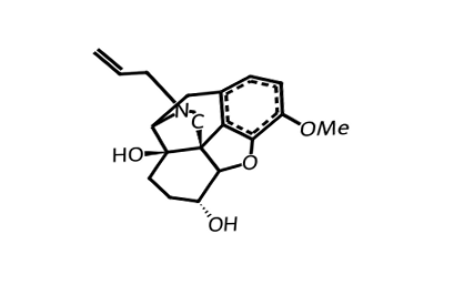 C=CCN1CC[C@@]23c4c5ccc(OC)c4OC2[C@H](O)CC[C@]3(O)C1C5